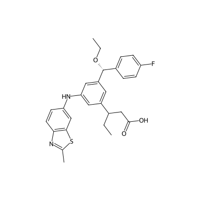 CCO[C@H](c1ccc(F)cc1)c1cc(Nc2ccc3nc(C)sc3c2)cc(C(CC)CC(=O)O)c1